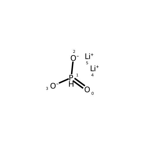 O=[PH]([O-])[O-].[Li+].[Li+]